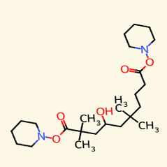 CC(C)(CCCC(=O)ON1CCCCC1)CC(O)CC(C)(C)C(=O)ON1CCCCC1